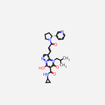 CC(C)Cn1c(=O)c(C(=O)NC2CC2)c(O)n2ncc(/C=C/C(=O)N3CCC[C@@H]3c3cccnc3)c12